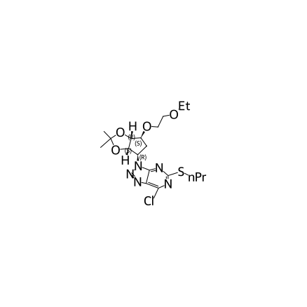 CCCSc1nc(Cl)c2nnn([C@@H]3C[C@H](OCCOCC)[C@H]4OC(C)(C)O[C@H]43)c2n1